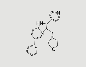 C1=CC2NC(c3ccncc3)C(CN3CCOCC3)N2C=C1c1ccccc1